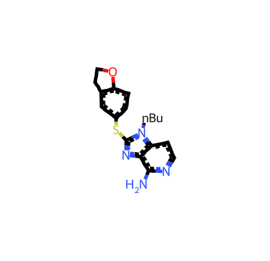 CCCCn1c(Sc2ccc3c(c2)CCO3)nc2c(N)nccc21